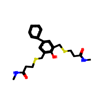 CNC(=O)CCSCc1cc(-c2ccccc2)cc(CSCCC(=O)NC)c1O